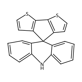 c1ccc2c(c1)Nc1ccccc1C21c2ccsc2-c2sccc21